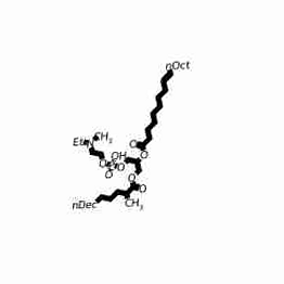 CCCCCCCC/C=C/CCCCCCCC(=O)OC(COC(=O)C(C)CCCCCCCCCCCCC)COP(=O)(O)OCCN(C)CC